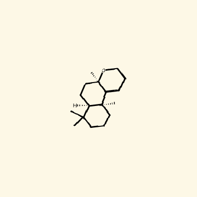 CC1(C)CCC[C@]2(C)C3CCCO[C@]3(C)CC[C@H]12